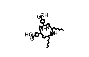 CCCCCCc1c2nc(c(-c3ccc(C(=O)O)cc3)c3ccc([nH]3)c(-c3ccc(C(=O)O)cc3)c3nc(c(CCCCCC)c4ccc1[nH]4)C=C3)C=C2